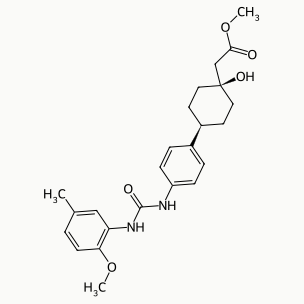 COC(=O)C[C@]1(O)CC[C@@H](c2ccc(NC(=O)Nc3cc(C)ccc3OC)cc2)CC1